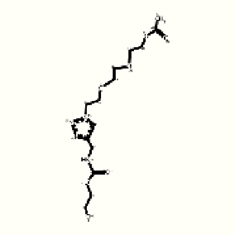 CCCOC(=O)NCc1cn(CCOCCOCCOC(C)=O)nn1